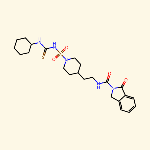 O=C(NCCC1CCN(S(=O)(=O)NC(=S)NC2CCCCC2)CC1)N1Cc2ccccc2C1=O